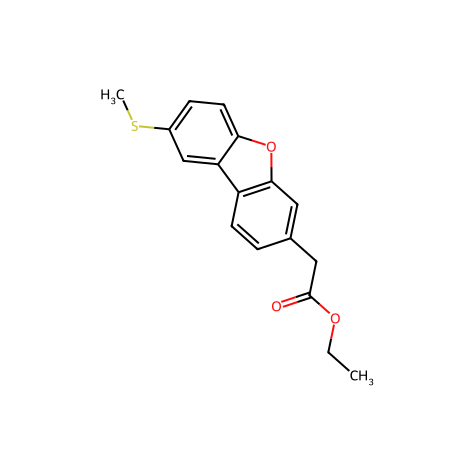 CCOC(=O)Cc1ccc2c(c1)oc1ccc(SC)cc12